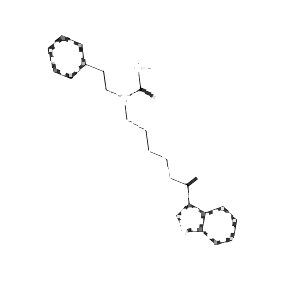 O=C(CCCCCN(CCc1ccccc1)C(=O)O)c1c[nH]c2ccccc12